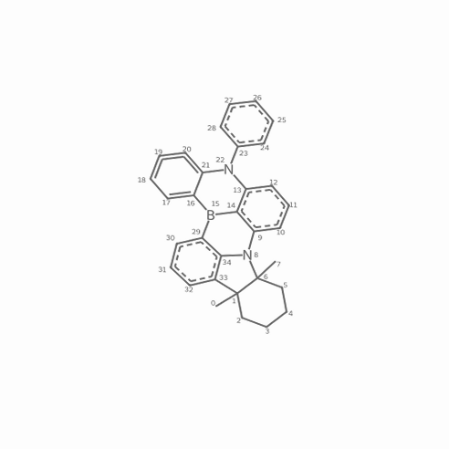 CC12CCCCC1(C)N1c3cccc4c3B(C3=CC=C=C=C3N4c3ccccc3)c3cccc2c31